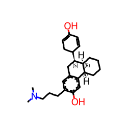 CN(C)CCCc1cc2c(cc1O)[C@@H]1CCCC[C@@H]1[C@H](C1C=CC(O)=CC1)C2